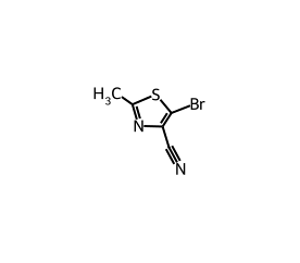 Cc1nc(C#N)c(Br)s1